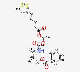 CC(OC(=O)CCCCC1CCSS1)OC(=O)NC(C)C(C)COC(=O)c1ccccc1